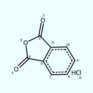 Cl.O=C1OC(=O)c2ccccc21